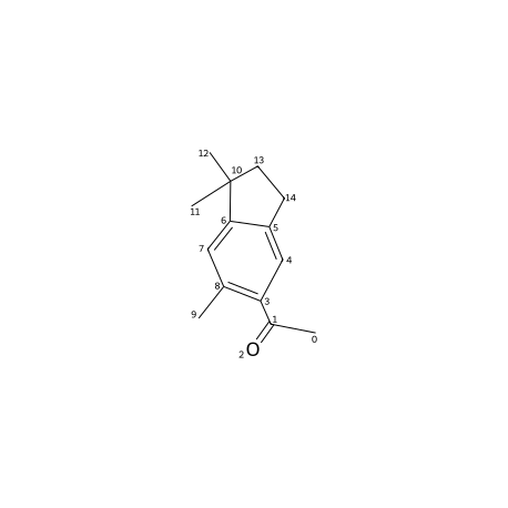 CC(=O)c1cc2c(cc1C)C(C)(C)CC2